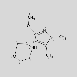 C1COCCN1.COc1cc(C)n(C)n1